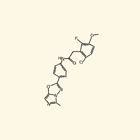 COc1ccc(Cl)c(CC(=O)Nc2ccc(-c3nn4c(C)ncc4o3)cc2)c1F